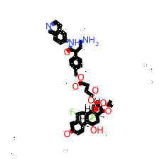 CC1(C)O[C@@H]2C[C@H]3[C@@H]4C[C@H](F)C5=CC(=O)C=C[C@]5(C)[C@@]4(F)[C@@H](O)C[C@]3(C)[C@]2(C(=O)COC(=O)CCC(=O)OCc2ccc(C(CCN)C(=O)Nc3ccc4cnccc4c3)cc2)O1